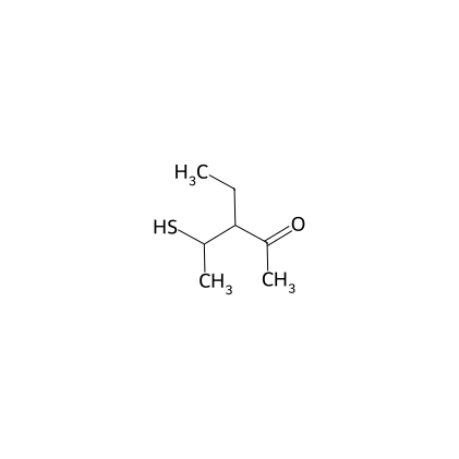 CCC(C(C)=O)C(C)S